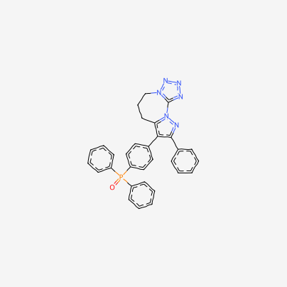 O=P(c1ccccc1)(c1ccccc1)c1ccc(-c2c(-c3ccccc3)nn3c2CCCn2nnnc2-3)cc1